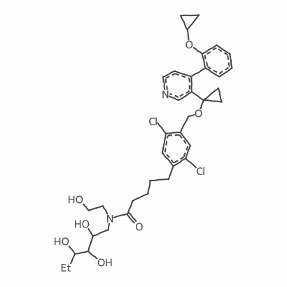 CCC(O)C(O)C(O)CN(CCO)C(=O)CCCCc1cc(Cl)c(COC2(c3cnccc3-c3ccccc3OC3CC3)CC2)cc1Cl